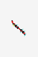 C=COCCC1CCC(c2ccc(C3=CC=C(C#Cc4cc(F)c(-c5ccc(OC=C(F)F)c(F)c5)c(F)c4)CC3)c(F)c2)SC1